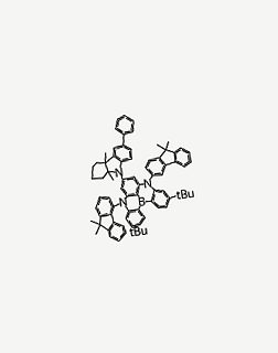 CC(C)(C)c1ccc2c(c1)N(c1ccc3c(c1)-c1ccccc1C3(C)C)c1cc(N3c4ccc(-c5ccccc5)cc4C4(C)CCCCC34C)cc3c1B2c1ccc(C(C)(C)C)cc1N3c1cccc2c1-c1ccccc1C2(C)C